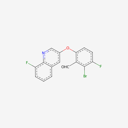 O=Cc1c(Oc2cnc3c(F)cccc3c2)ccc(F)c1Br